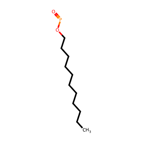 CCCCCCCCCCCOP=O